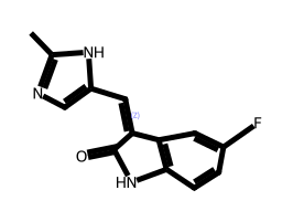 Cc1ncc(/C=C2\C(=O)Nc3ccc(F)cc32)[nH]1